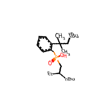 CCCCC(CC)CP(=O)(O)c1ccccc1C(C)(C)CC(C)(C)C